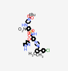 CC1(C)CCC(CN2CCN(c3ccc(C(=O)NS(=O)(=O)c4ccc(NC5CCN(C(=O)OC(C)(C)C)CC5)c([N+](=O)[O-])c4)c(Oc4cnc5[nH]ccc5c4)c3)CC2)=C(c2ccc(Cl)cc2)C1